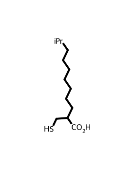 CC(C)CCCCCCCC(CS)C(=O)O